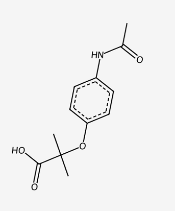 CC(=O)Nc1ccc(OC(C)(C)C(=O)O)cc1